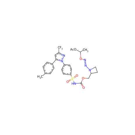 CC(=O)OC(C)ON=NN1CCC1COC(=O)NS(=O)(=O)c1ccc(-n2nc(C(F)(F)F)cc2-c2ccc(C)cc2)cc1